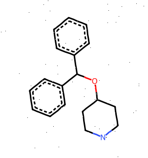 c1ccc(C(OC2CC[N]CC2)c2ccccc2)cc1